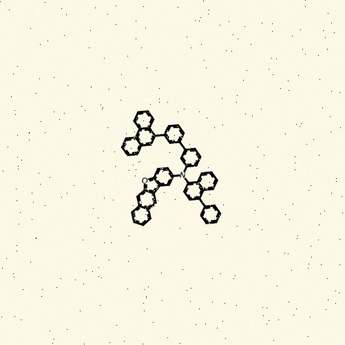 c1ccc(-c2ccc(N(c3cccc(-c4cccc(-c5cc6ccccc6c6ccccc56)c4)c3)c3ccc4oc5cc6ccccc6cc5c4c3)c3ccccc23)cc1